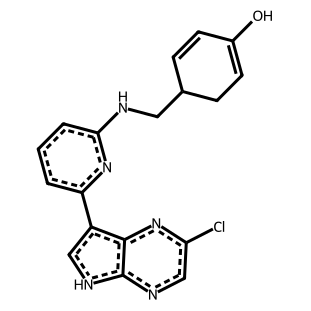 OC1=CCC(CNc2cccc(-c3c[nH]c4ncc(Cl)nc34)n2)C=C1